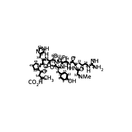 CCC(C)[C@H](NC(=O)[C@H](Cc1ccc(O)cc1)NC(=O)[C@@H](NC(=O)[C@H](CCCNC(=N)N)NC(=O)CNC)C(C)C)C(=O)N[C@@H](Cc1c[nH]cn1)C(=O)N1CCC[C@H]1C(=O)C[C@H](C)C(=O)O